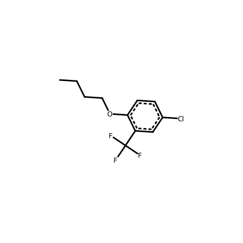 CCCCOc1ccc(Cl)cc1C(F)(F)F